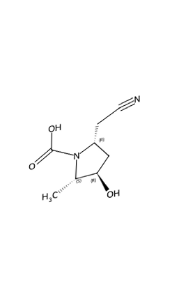 C[C@H]1[C@H](O)C[C@@H](CC#N)N1C(=O)O